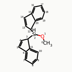 CO[SiH](C1C=Cc2ccccc21)C1C=Cc2ccccc21